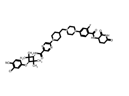 CC1(C)[C@H](NC(=O)c2cnc(N3CCC(CN4CCN(c5ccc(C(=O)NC6CCC(=O)NC6=O)c(F)c5)CC4)CC3)cn2)C(C)(C)[C@H]1Oc1ccc(C#N)c(Cl)c1